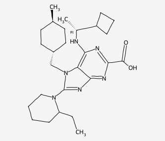 CCC1CCCCN1c1nc2nc(C(=O)O)nc(N[C@H](C)C3CCC3)c2n1C[C@H]1CC[C@H](C)CC1